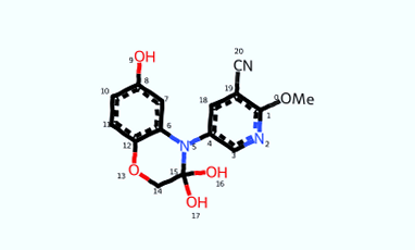 COc1ncc(N2c3cc(O)ccc3OCC2(O)O)cc1C#N